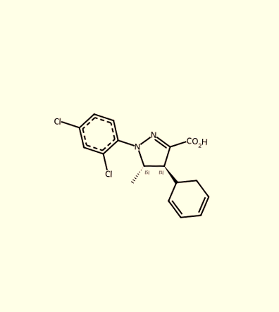 C[C@H]1[C@H](C2C=CC=CC2)C(C(=O)O)=NN1c1ccc(Cl)cc1Cl